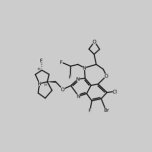 Fc1c(Br)c(Cl)c2c3c(nc(OC[C@@]45CCCN4C[C@H](F)C5)nc13)N(CC(F)F)C(C1COC1)CO2